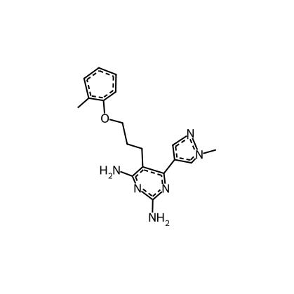 Cc1ccccc1OCCCc1c(N)nc(N)nc1-c1cnn(C)c1